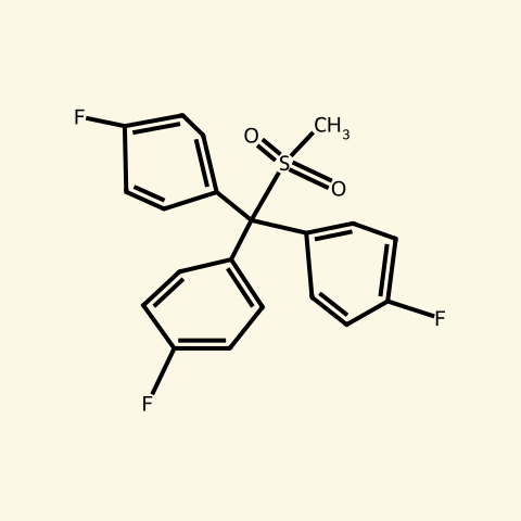 CS(=O)(=O)C(c1ccc(F)cc1)(c1ccc(F)cc1)c1ccc(F)cc1